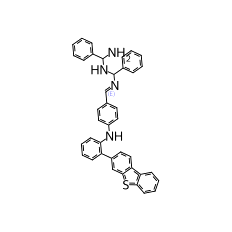 NC(NC(/N=C/c1ccc(Nc2ccccc2-c2ccc3c(c2)sc2ccccc23)cc1)c1ccccc1)c1ccccc1